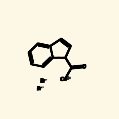 O=[C]([Co+2])C1C=Cc2ccccc21.[Br-].[Br-]